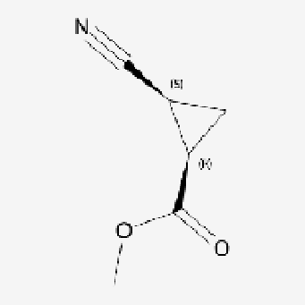 COC(=O)[C@@H]1C[C@@H]1C#N